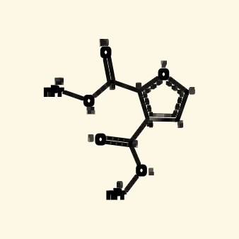 CCCOC(=O)c1ccoc1C(=O)OCCC